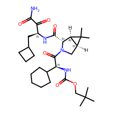 CC(C)(C)COC(=O)N[C@H](C(=O)N1C[C@H]2[C@@H]([C@H]1C(=O)N[C@@H](CC1CCC1)C(=O)C(N)=O)C2(C)C)C1CCCCC1